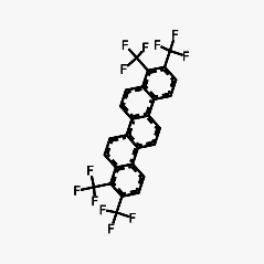 FC(F)(F)c1ccc2c(ccc3c2ccc2c4ccc(C(F)(F)F)c(C(F)(F)F)c4ccc23)c1C(F)(F)F